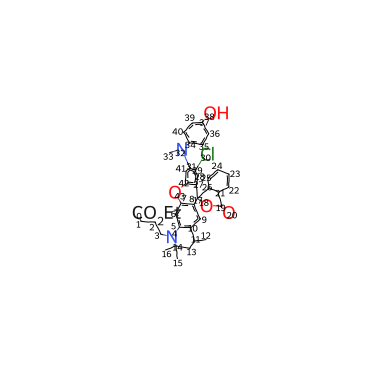 CCOC(=O)CCCN1c2cc3c(cc2C(C)CC1(C)C)C1(OC(=O)C2C=CC=CC21)c1cc(Cl)c(N(C)c2ccc(O)cc2)cc1O3